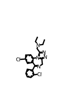 CCN(CC)Cc1nnc2n1-c1ccc(Cl)cc1C(c1ccccc1Cl)=NC2